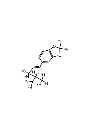 [2H]C1([2H])Oc2ccc(/C=C/C([2H])(O)C(C)(C([2H])([2H])[2H])C([2H])([2H])[2H])cc2O1